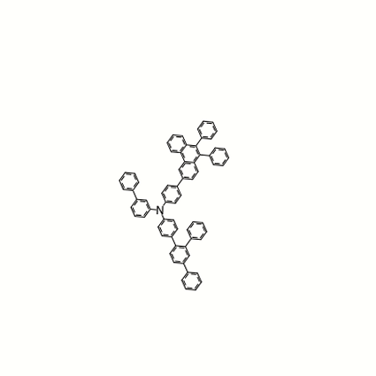 c1ccc(-c2cccc(N(c3ccc(-c4ccc5c(-c6ccccc6)c(-c6ccccc6)c6ccccc6c5c4)cc3)c3ccc(-c4ccc(-c5ccccc5)cc4-c4ccccc4)cc3)c2)cc1